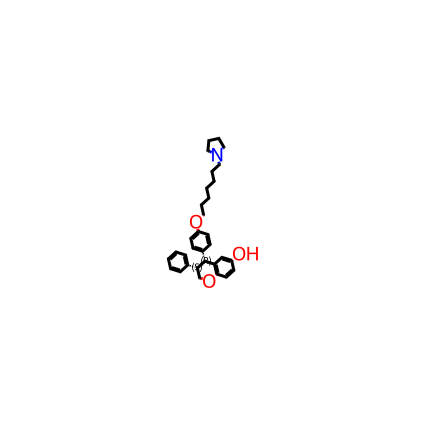 Oc1ccc2c(c1)[C@@H](c1ccc(OCCCCCCCN3CCCC3)cc1)[C@@H](c1ccccc1)CO2